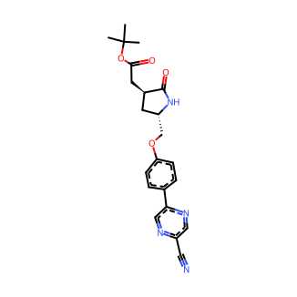 CC(C)(C)OC(=O)C[C@@H]1C[C@@H](COc2ccc(-c3cnc(C#N)cn3)cc2)NC1=O